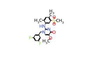 COc1cn(Cc2cc(F)cc(F)c2)c(Nc2cc(S(C)(=O)=O)c(C)cc2C)nc1=O